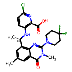 Cc1cc([C@H](C)Nc2ccc(Cl)nc2C(=O)O)c2nc(N3CCC(F)(F)CC3)n(C)c(=O)c2c1